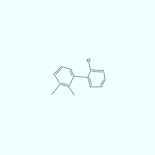 Cc1cccc(-c2ccccc2Cl)c1C